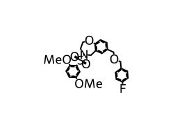 COc1ccc(OC)c(S(=O)(=O)N2CCOc3ccc(COCc4ccc(F)cc4)cc3C2)c1